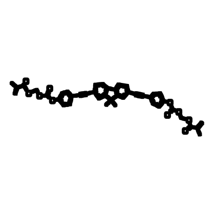 C=C(C)C(=O)OCOC(=O)Oc1ccc(C#Cc2ccc3c(c2)C(C)(C)c2cc(C#Cc4ccc(OC(=O)OCOC(=O)C(=C)C)cc4)ccc2-3)cc1